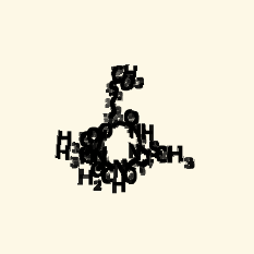 C=C1NC(=O)c2ccc(SC)c(n2)CNC(=O)C[C@@H](/C=C/CCSC(C)=O)OC(=O)[C@H](C(C)C)NC1=O